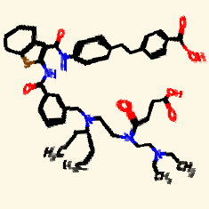 CCC(CC)N(CCN(CCN(CC)CC)C(=O)CCC(=O)O)Cc1cccc(C(=O)Nc2sc3c(c2C(=O)Nc2ccc(CCc4ccc(C(=O)O)cc4)cc2)CCCC3)c1